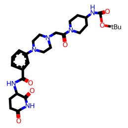 CC(C)(C)OC(=O)NC1CCN(C(=O)CN2CCN(c3cccc(C(=O)NC4CCC(=O)NC4=O)c3)CC2)CC1